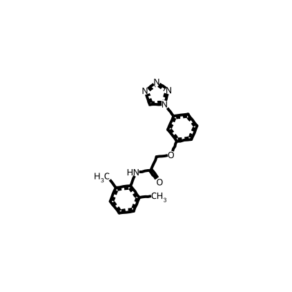 Cc1cccc(C)c1NC(=O)COc1cccc(-n2cnnn2)c1